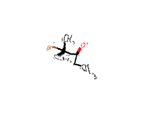 CCC(=O)C(C)(C)Br